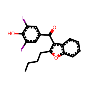 CCCCc1oc2ccccc2c1C(=O)c1cc(I)c(O)c(I)c1